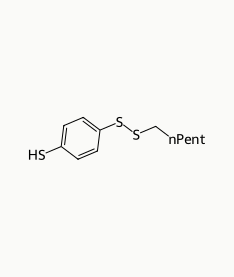 CCCCCCSSc1ccc(S)cc1